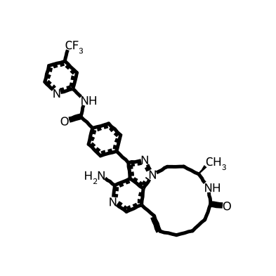 C[C@@H]1CCn2nc(-c3ccc(C(=O)Nc4cc(C(F)(F)F)ccn4)cc3)c3c(N)ncc(c32)/C=C/CCCC(=O)N1